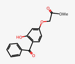 COC(=O)COc1ccc(C(=O)c2ccccc2)c(O)c1